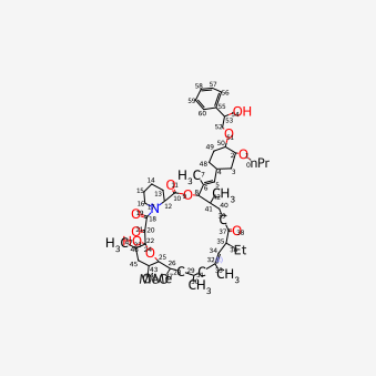 CCCOC1CC(C=C(C)C2OC(=O)C3CCCCN3C(=O)C(=O)C3(O)OC(C(OC)CC(C)C/C(C)=C/C(CC)C(=O)CCC2C)C(OC)CC3C)CCC1OCC(O)c1ccccc1